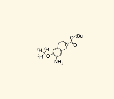 [2H]C([2H])([2H])Oc1cc2c(cc1N)CN(C(=O)OC(C)(C)C)CC2